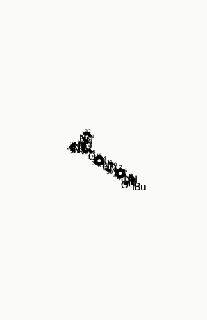 CCC(C)n1ncn(-c2ccc(N3CCN(c4ccc(OCC5COC(Cn6cccn6)(c6ncccn6)O5)cc4)CC3)cc2)c1=O